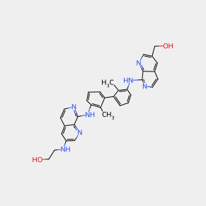 Cc1c(Nc2nccc3cc(CO)cnc23)cccc1-c1cccc(Nc2nccc3cc(NCCO)cnc23)c1C